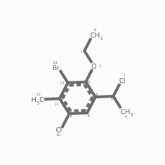 CCOc1c(C(C)Cl)cc(Cl)c(C)c1Br